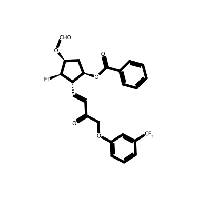 CC[C@@H]1[C@@H](/C=C/C(=O)COc2cccc(C(F)(F)F)c2)[C@H](OC(=O)c2ccccc2)C[C@@H]1OC=O